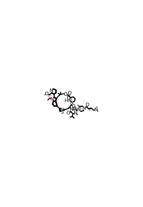 CCn1c(-c2cccnc2[C@H](C)OC)c2c3cc(ccc31)-c1csc(n1)C[C@H](NC(=O)C(C(C)C)N(C)C(=O)N1CCN(C(=O)/C=C/CN(C)C)C[C@@H]1C)C(=O)N1CCC[C@H](N1)C(=O)OCC(C)(C)C2